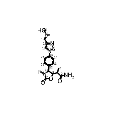 CC(C(N)=O)C1OC(=O)N(F)C1c1ccc(-n2cc(C=NO)nn2)cc1